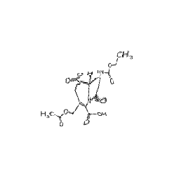 CCOC(=O)N[C@@H]1C(=O)N2C(C(=O)O)=C(COC(C)=O)CS(=O)(=O)[C@H]12